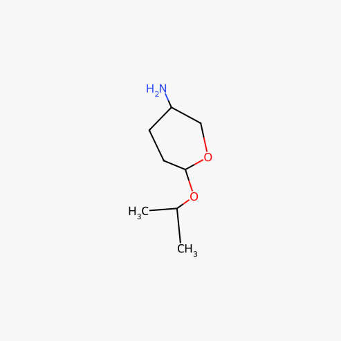 CC(C)OC1CCC(N)CO1